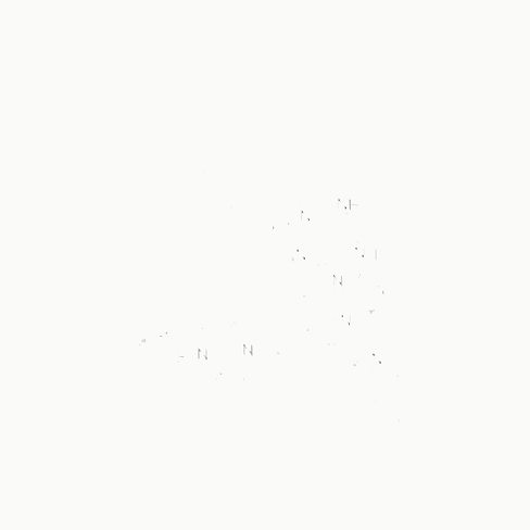 CCCCOc1nc(N)c2[nH]c(=O)n(C(CCCCN3CCN(CCC)CC3)N3CCN(CCC)CC3)c2n1